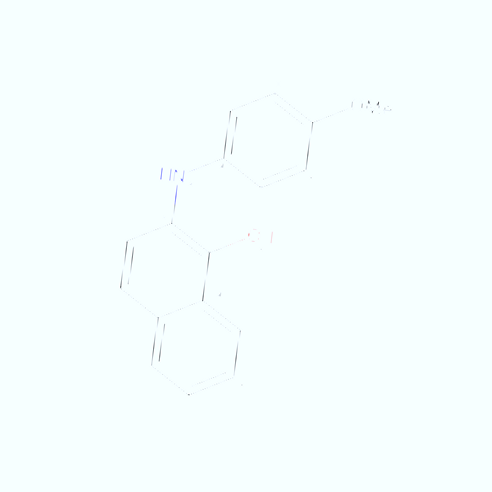 COc1ccc(Nc2ccc3ccccc3c2O)cc1